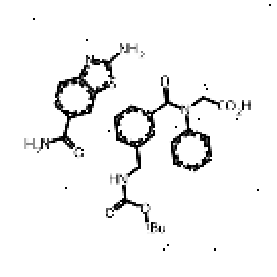 CC(C)(C)OC(=O)NCc1cccc(C(=O)N(CC(=O)O)c2ccccc2)c1.NC(=O)c1ccc2nc(N)sc2c1